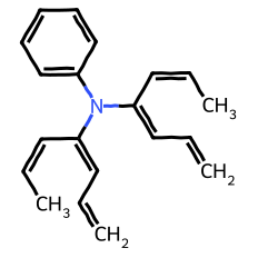 C=C/C=C(\C=C/C)N(C(/C=C\C)=C/C=C)c1ccccc1